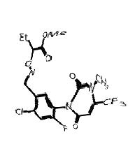 CCC(O/N=C/c1cc(-n2c(=O)cc(C(F)(F)F)n(C)c2=O)c(F)cc1Cl)C(=O)OC